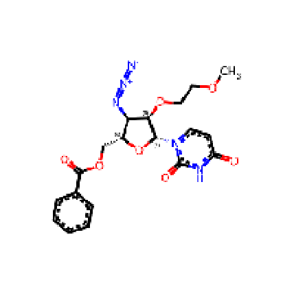 COCCO[C@@H]1C(N=[N+]=[N-])[C@@H](COC(=O)c2ccccc2)O[C@H]1n1ccc(=O)[nH]c1=O